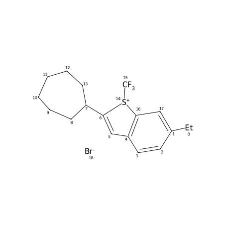 CCc1ccc2cc(C3CCCCCC3)[s+](C(F)(F)F)c2c1.[Br-]